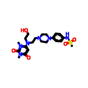 Cn1c(N(CCO)CCN2CCN(c3ccc(NS(C)(=O)=O)cc3)CC2)cc(=O)n(C)c1=O